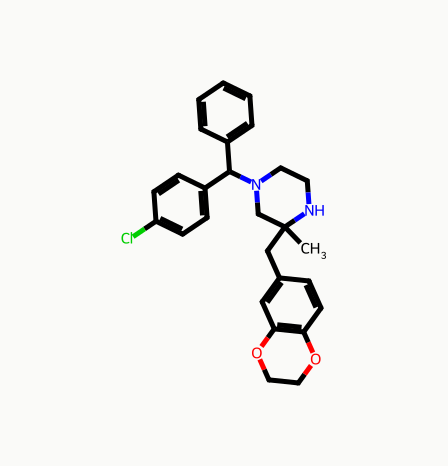 CC1(Cc2ccc3c(c2)OCCO3)CN(C(c2ccccc2)c2ccc(Cl)cc2)CCN1